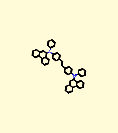 C1=CCC2=CC(N(c3ccccc3)c3ccc(C=Cc4ccc(N(c5ccccc5)C5C=C6C=CC=CC6c6ccccc65)cc4)cc3)c3ccccc3C2=C1